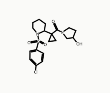 O=C(N1CCC(O)C1)C1(C2CCCCN2S(=O)(=O)c2ccc(Cl)cc2)CC1